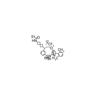 CCC(=O)NC1CC2(C1)CC(C1c3cccc(c3)S(=O)(=O)Nc3nc(cc(-c4c(C)cccc4C)n3)OC[C@H]1CC1(C(F)(F)F)CC1)C2